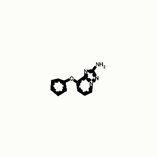 Nc1nc2c(Oc3ccccc3)cccn2n1